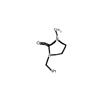 CC(C)CN1CCN(C)C1=O